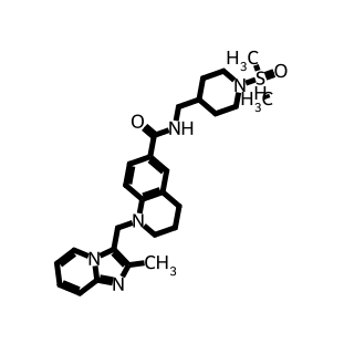 Cc1nc2ccccn2c1CN1CCCc2cc(C(=O)NCC3CCN([SH](C)(C)=O)CC3)ccc21